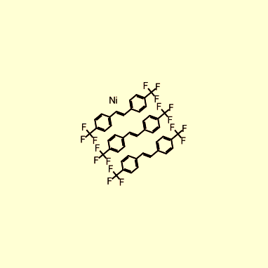 FC(F)(F)c1ccc(/C=C/c2ccc(C(F)(F)F)cc2)cc1.FC(F)(F)c1ccc(/C=C/c2ccc(C(F)(F)F)cc2)cc1.FC(F)(F)c1ccc(/C=C/c2ccc(C(F)(F)F)cc2)cc1.[Ni]